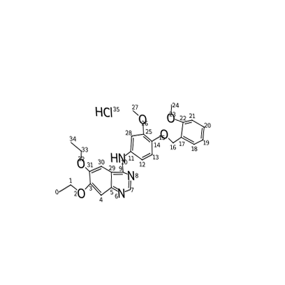 CCOc1cc2ncnc(Nc3ccc(OCc4ccccc4OC)c(OC)c3)c2cc1OCC.Cl